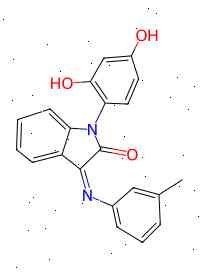 Cc1cccc(N=C2C(=O)N(c3ccc(O)cc3O)c3ccccc32)c1